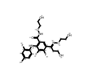 O=C(NOCCO)c1cc(C(CCO)=NOCCO)c(F)c(F)c1Nc1ccc(I)cc1F